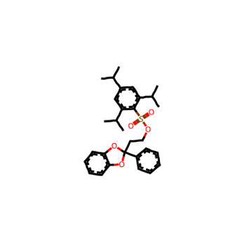 CC(C)c1cc(C(C)C)c(S(=O)(=O)OCCC2(c3ccccc3)Oc3ccccc3O2)c(C(C)C)c1